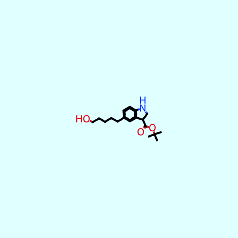 CC(C)(C)OC(=O)C1CNc2ccc(CCCCCO)cc21